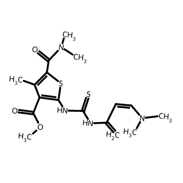 C=C(/C=C\N(C)C)NC(=S)Nc1sc(C(=O)N(C)C)c(C)c1C(=O)OC